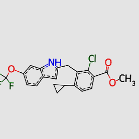 COC(=O)c1ccc(C2CC2)c(Cc2cc3ccc(OC(F)(F)F)cc3[nH]2)c1Cl